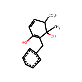 CC1(O)C(Cc2ccccc2)=C(O)C=CC1C(=O)O